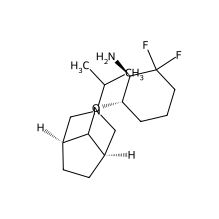 CC(C)N1C[C@H]2CC[C@@H](C1)C2O[C@H]1CCCC(F)(F)[C@@H]1N